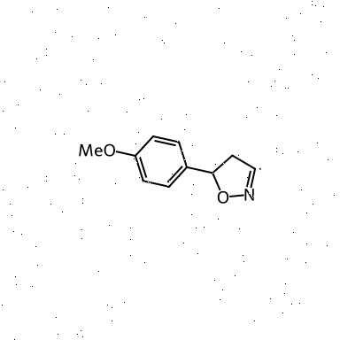 COc1ccc(C2C[C]=NO2)cc1